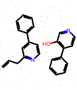 C=CCc1cc(-c2ccccc2)ccn1.Oc1cnccc1-c1ccccc1